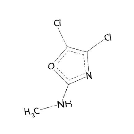 CNc1nc(Cl)c(Cl)o1